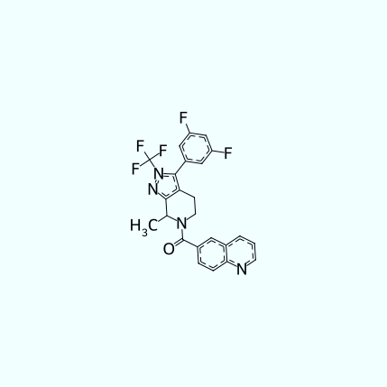 CC1c2nn(C(F)(F)F)c(-c3cc(F)cc(F)c3)c2CCN1C(=O)c1ccc2ncccc2c1